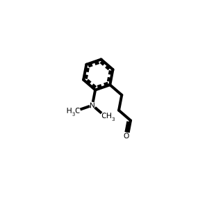 CN(C)c1ccccc1CCC=O